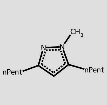 CCCCCc1cc(CCCCC)n(C)n1